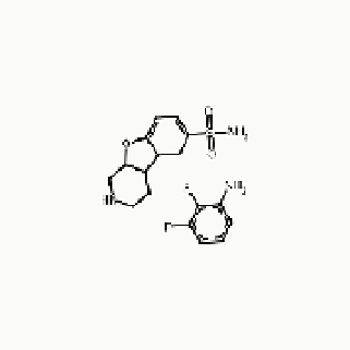 NS(=O)(=O)C1=CC=C2OC3CNCCC3C2C1.Nc1cccc(F)c1F